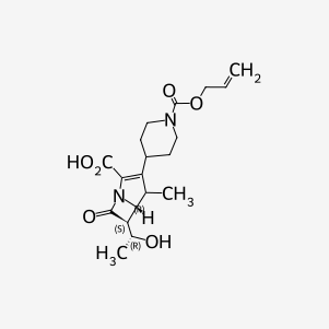 C=CCOC(=O)N1CCC(C2=C(C(=O)O)N3C(=O)[C@H]([C@@H](C)O)[C@H]3C2C)CC1